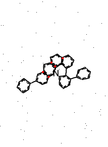 c1ccc(-c2ccc(N(c3ccccc3)c3cccc(-c4ccccc4)c3-c3ccccc3-c3ccccc3)cc2)cc1